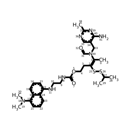 CC(=C(CCOC(=O)NCCNc1cccc2c(N(C)C)cccc12)SSC(C)C)N(C=O)Cc1cnc(C)nc1N